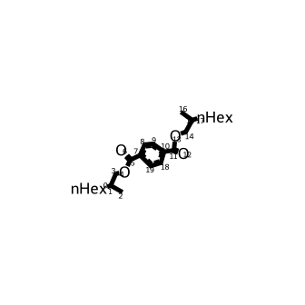 CCCCCCC(C)COC(=O)c1ccc(C(=O)OCC(C)CCCCCC)cc1